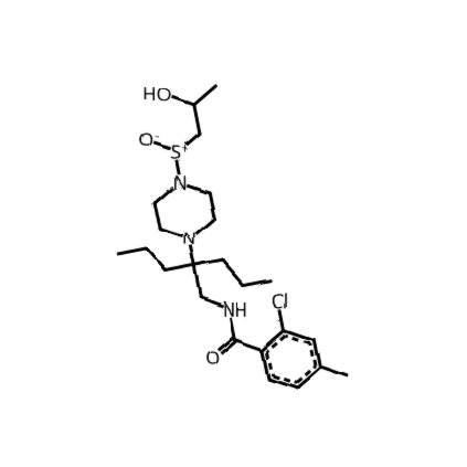 CCCC(CCC)(CNC(=O)c1ccc(C)cc1Cl)N1CCN([S+]([O-])CC(C)O)CC1